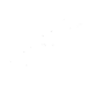 C=C1c2cc(O)ccc2CN1c1ccc2sccc2c1